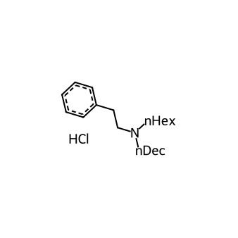 CCCCCCCCCCN(CCCCCC)CCc1ccccc1.Cl